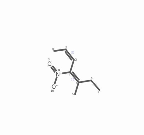 C/C=C\C(=C(\C)CC)[N+](=O)[O-]